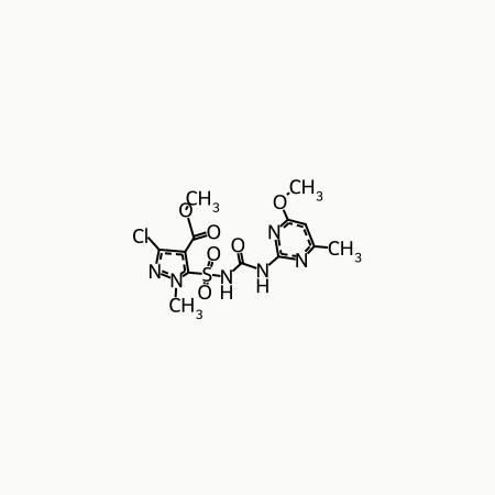 COC(=O)c1c(Cl)nn(C)c1S(=O)(=O)NC(=O)Nc1nc(C)cc(OC)n1